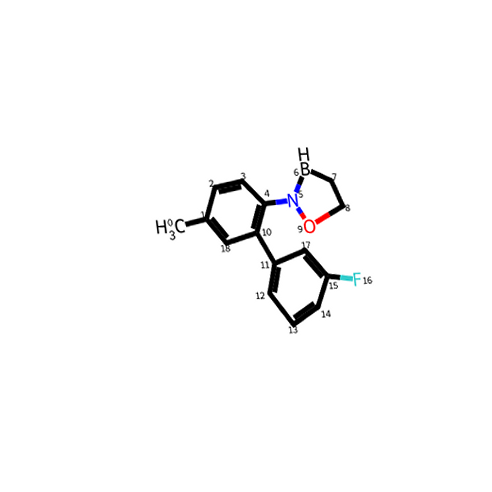 Cc1ccc(N2BCCO2)c(-c2cccc(F)c2)c1